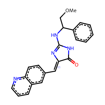 COCC(NC1=N/C(=C\c2ccc3ncccc3c2)C(=O)N1)c1ccccc1